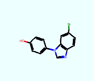 Oc1ccc(-n2cnc3ccc(Br)cc32)cc1